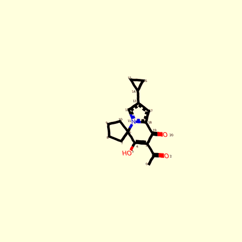 CC(=O)C1=C(O)C2(CCCC2)n2cc(C3CC3)cc2C1=O